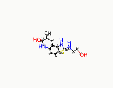 N#CC1Cc2c(ccc3c2NC(NCCO)S3)NC1O